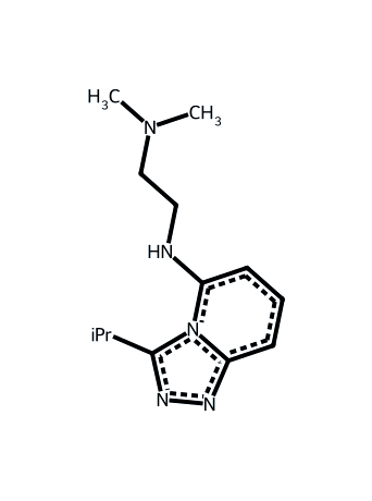 CC(C)c1nnc2cccc(NCCN(C)C)n12